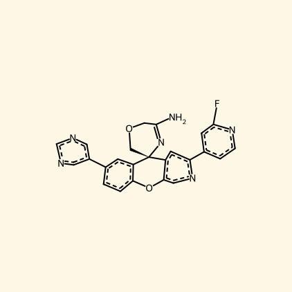 NC1=N[C@@]2(COC1)c1cc(-c3cncnc3)ccc1Oc1cnc(-c3ccnc(F)c3)cc12